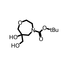 CC(C)(C)OC(=O)N1CCOCC(O)(CO)C1